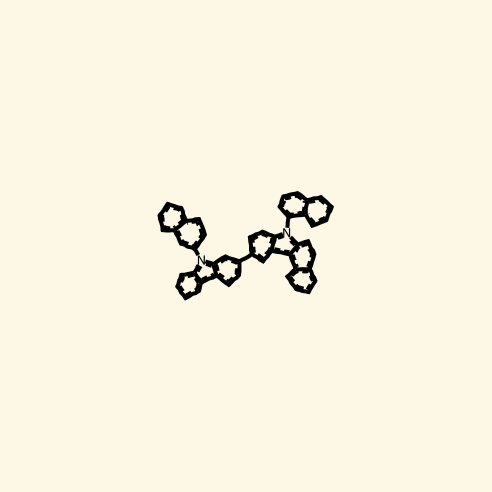 c1ccc2cc(-n3c4ccccc4c4ccc(-c5ccc6c(c5)c5c7ccccc7ccc5n6-c5cccc6ccccc56)cc43)ccc2c1